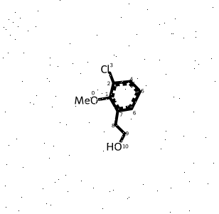 COc1c(Cl)cccc1CCO